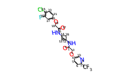 O=C(COc1ccc(C(F)(F)F)nc1)NC12CC(NC(=O)COc3ccc(Cl)c(F)c3)(C1)C2